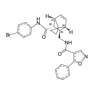 O=C(NC[C@H]1[C@H](C(=O)Nc2ccc(Br)cc2)[C@@H]2C=C[C@H]1C21CC1)c1cnoc1-c1ccccc1